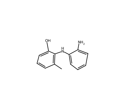 Cc1cccc(O)c1Nc1ccccc1N